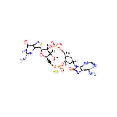 CO[C@H]1[C@H]2OP(=O)(O)OC[C@H]3CC(C)(n4cnc5c(N)ncnc54)[C@H](O)[C@@H]3O[P@](=O)(S)OC[C@H]1O[C@H]2c1snc2c(=O)[nH]c(N)nc12